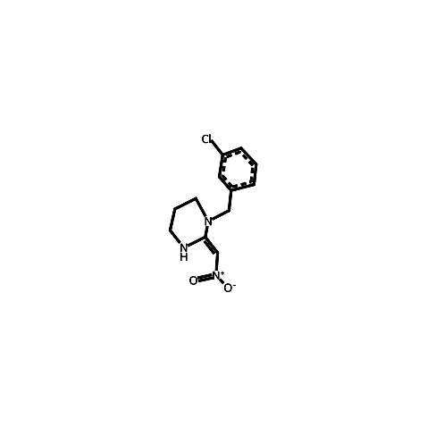 O=[N+]([O-])C=C1NCCCN1Cc1cccc(Cl)c1